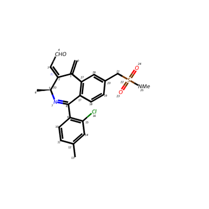 C=C1/C(=C\C=O)[C@H](C)N=C(c2ccc(C)cc2Cl)c2ccc(CS(=O)(=O)NC)cc21